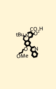 COCCCOc1cc2c(cc1-c1cnc3ccccc3c1)-c1cc(=O)c(C(=O)O)cn1C(C(C)(C)C)C2